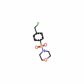 O=S(=O)(c1ccc(CF)cc1)N1CCOCC1